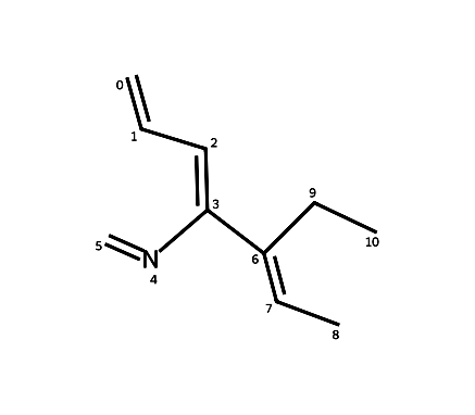 C=C/C=C(N=C)/C(=C/C)CC